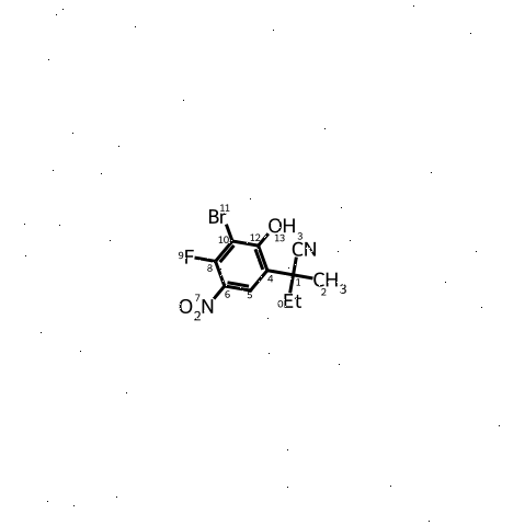 CCC(C)(C#N)c1cc([N+](=O)[O-])c(F)c(Br)c1O